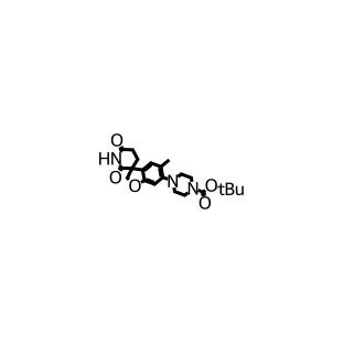 Cc1cc2c(cc1N1CCN(C(=O)OC(C)(C)C)CC1)OCC21CCC(=O)NC1=O